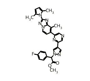 COC(=O)C(c1ccc(F)cc1)n1cc(-c2cncc(-c3ccn4nc(-n5c(C)ccc5C)nc4c3C)n2)cn1